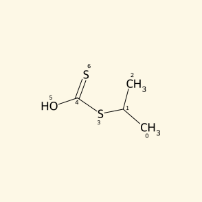 CC(C)SC(O)=S